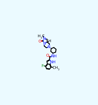 Cc1ccc(F)c2cc(C(=O)N[C@@H]3CCC[C@@H](N4CCN5C(=O)N(C)C[C@@H]5C4)C3)[nH]c12